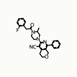 CC1CN(c2nc(-c3ccccc3)c3c(c2C#N)CCOC3)CCN1C(=O)Cc1ccccc1F